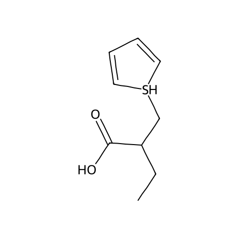 CCC(C[SH]1C=CC=C1)C(=O)O